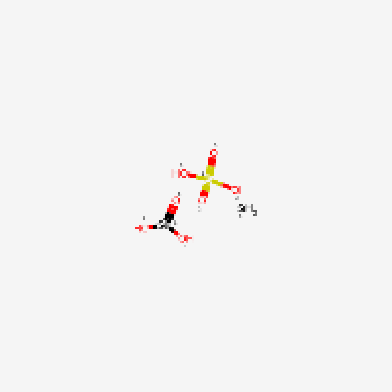 O=S(=O)(O)O.O=[Se](O)O.[SrH2]